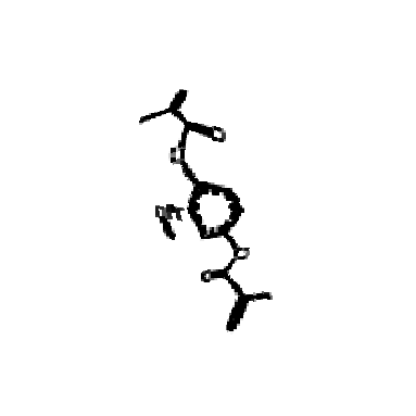 C=C(C)C(=O)Oc1ccc(OC(=O)C(=C)C)cc1.CCCC